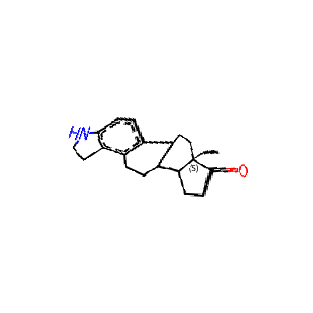 C[C@]12CCC3c4ccc5c(c4CCC3C1CCC2=O)CCN5